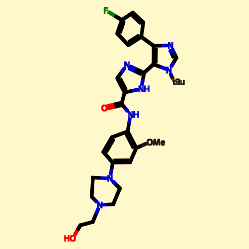 COc1cc(N2CCN(CCO)CC2)ccc1NC(=O)c1cnc(-c2c(-c3ccc(F)cc3)ncn2C(C)(C)C)[nH]1